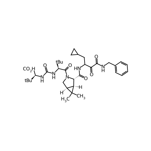 CC(C)(C)[C@H](NC(=O)N[C@H](C(=O)N1C[C@H]2[C@@H]([C@H]1C(=O)NC(CC1CC1)C(=O)C(=O)NCc1ccccc1)C2(C)C)C(C)(C)C)C(=O)O